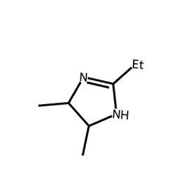 CCC1=NC(C)C(C)N1